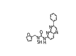 O=C(Nc1ccc2ncc(-c3ccccc3)nc2n1)N(S)Cc1ccco1